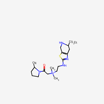 CCOC(=O)C1Cc2nc(NCC[N+](C)(C)CC(=O)N3CCCC3C#N)sc2CN1